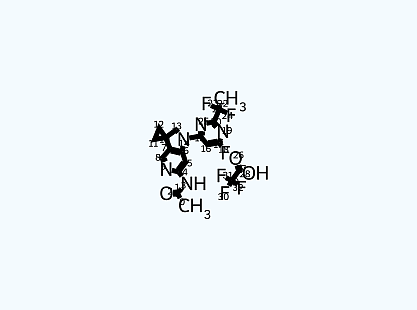 CC(=O)Nc1cc2c(cn1)C1(CC1)CN2c1cc(F)nc(C(C)(F)F)n1.O=C(O)C(F)(F)F